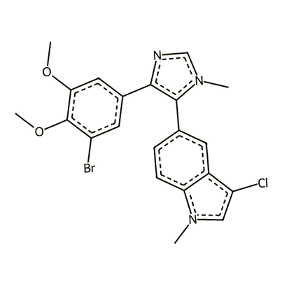 COc1cc(-c2ncn(C)c2-c2ccc3c(c2)c(Cl)cn3C)cc(Br)c1OC